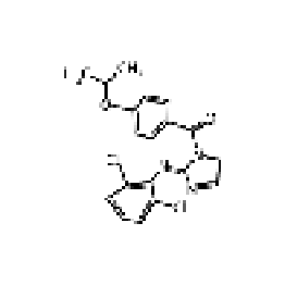 CC(C)Oc1ccc(C(=O)N2CC=NC2=Nc2c(Cl)cccc2Cl)cc1